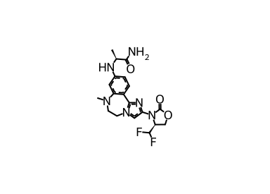 C[C@H](Nc1ccc2c(c1)N(C)CCn1cc(N3C(=O)OC[C@H]3C(F)F)nc1-2)C(N)=O